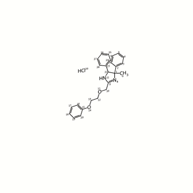 CC1(c2ccccc2)N=C(COCCOc2ccccc2)NC1c1ccccc1.Cl